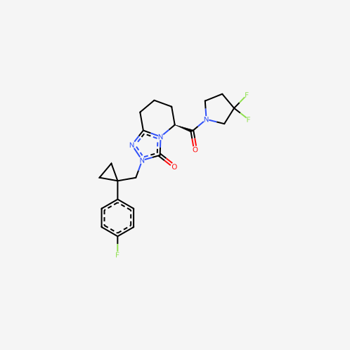 O=C([C@@H]1CCCc2nn(CC3(c4ccc(F)cc4)CC3)c(=O)n21)N1CCC(F)(F)C1